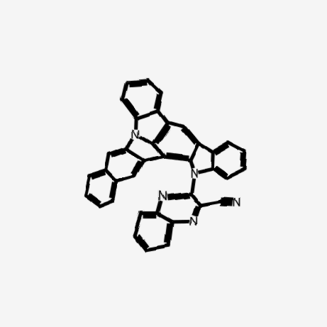 N#Cc1nc2ccccc2nc1-n1c2ccccc2c2cc3c4ccccc4n4c5cc6ccccc6cc5c(c21)c34